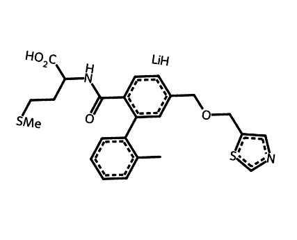 CSCCC(NC(=O)c1ccc(COCc2cncs2)cc1-c1ccccc1C)C(=O)O.[LiH]